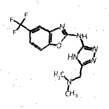 CN(C)Cc1nnc(Nc2nc3cc(C(F)(F)F)ccc3o2)[nH]1